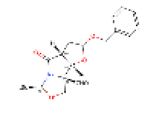 CC(C)(C)[C@@H]1OC[C@]2(C=O)N1C(=O)[C@@H]1CC(OCc3ccccc3)O[C@@]12C